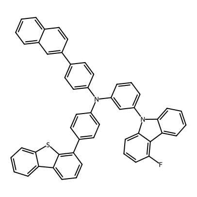 Fc1cccc2c1c1ccccc1n2-c1cccc(N(c2ccc(-c3ccc4ccccc4c3)cc2)c2ccc(-c3cccc4c3sc3ccccc34)cc2)c1